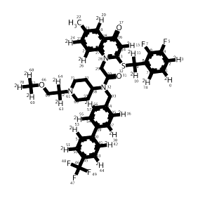 [2H]c1c([2H])c(F)c(F)c(C([2H])([2H])Sc2c([2H])c(=O)c3c([2H])c(C)c([2H])c([2H])c3n2CC(=O)N(Cc2c([2H])c([2H])c(-c3c([2H])c([2H])c(C(F)(F)F)c([2H])c3[2H])c([2H])c2[2H])C2CCN(C([2H])([2H])COC([2H])([2H])[2H])CC2)c1[2H]